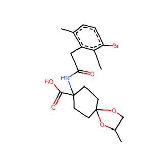 Cc1ccc(Br)c(C)c1CC(=O)NC1(C(=O)O)CCC2(CC1)OCC(C)O2